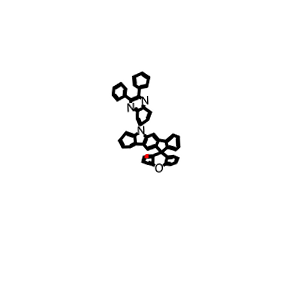 c1ccc(-c2nc3ccc(-n4c5ccccc5c5cc6c(cc54)-c4ccccc4C64c5ccccc5Oc5ccccc54)cc3nc2-c2ccccc2)cc1